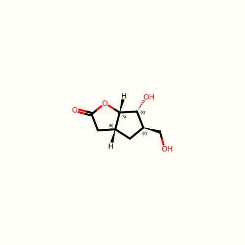 O=C1C[C@H]2C[C@H](CO)[C@@H](O)[C@H]2O1